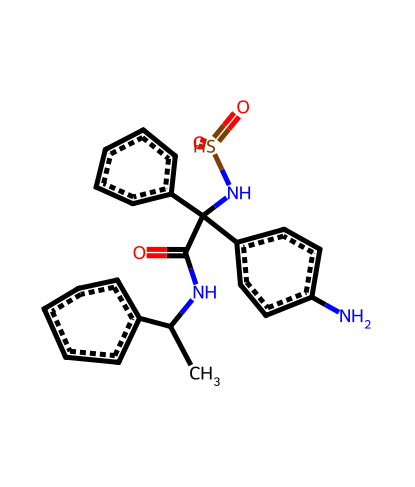 CC(NC(=O)C(N[SH](=O)=O)(c1ccccc1)c1ccc(N)cc1)c1ccccc1